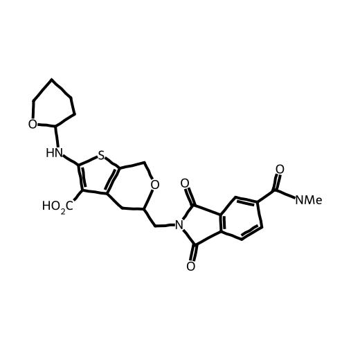 CNC(=O)c1ccc2c(c1)C(=O)N(CC1Cc3c(sc(NC4CCCCO4)c3C(=O)O)CO1)C2=O